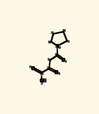 O=C(O)C(=O)CC(=O)N1CCCC1